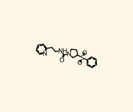 O=C(NCCc1ccccn1)N1CCC(S(=O)(=O)c2ccccc2)C1